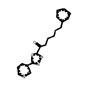 O=C(CCCCCc1ccccc1)c1nnc(-c2cccnc2)o1